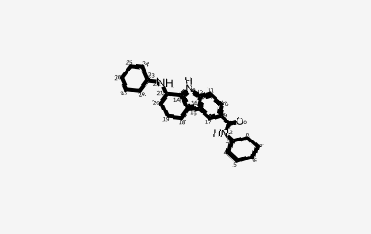 O=C(NC1CCCCC1)c1ccc2[nH]c3c(c2c1)CCCC3NC1CCCCC1